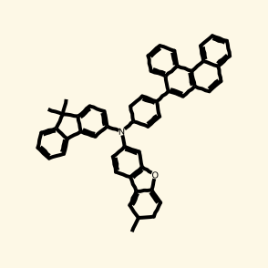 CC1C=c2c(oc3cc(N(c4ccc5c(c4)-c4ccccc4C5(C)C)C4C=CC(c5cc6ccc7ccccc7c6c6ccccc56)=CC4)ccc23)=CC1